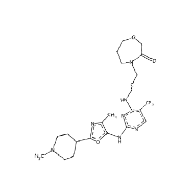 Cc1nc(C2CCN(C)CC2)oc1Nc1ncc(C(F)(F)F)c(NCCCN2CCCOCC2=O)n1